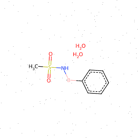 CS(=O)(=O)N[B]c1ccccc1.O.O